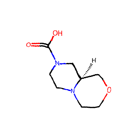 O=C(O)N1CCN2CCOC[C@@H]2C1